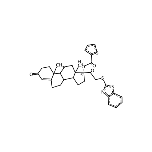 CC12CCC(=O)C=C1CCC1C2CCC2(C)C1CC[C@]2(OC(=O)c1cccs1)C(=O)CSc1nc2ccccc2s1